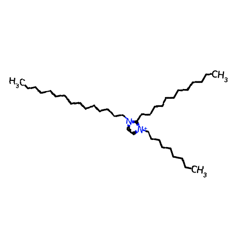 CCCCCCCCCCCCCCCn1cc[n+](CCCCCCCCC)c1CCCCCCCCCCCC